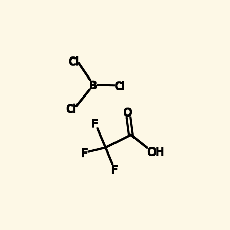 ClB(Cl)Cl.O=C(O)C(F)(F)F